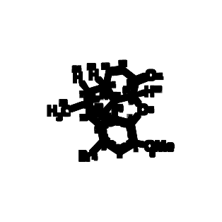 COc1cc(Br)c2c3c1O[C@H]1C(=O)C=C[C@H]4[C@@H](C2)N(C)CC[C@]314